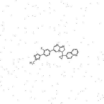 Cn1cc(-c2ccc(C3=CN4C(=NCC4C4(c5ccc6ncccc6c5)CC4)N=C3)cc2F)cn1